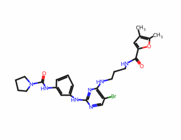 Cc1cc(C(=O)NCCCNc2nc(Nc3cccc(NC(=O)N4CCCC4)c3)ncc2Br)oc1C